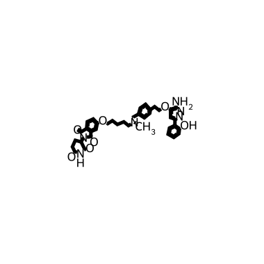 CN(CCCCCOc1ccc2c(c1)C(=O)N(C1CCC(=O)NC1=O)C2=O)Cc1ccc(CCOc2cc(-c3ccccc3O)nnc2N)cc1